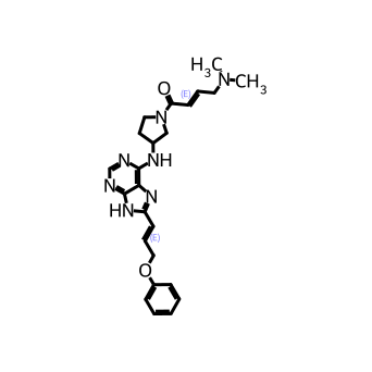 CN(C)C/C=C/C(=O)N1CCC(Nc2ncnc3[nH]c(/C=C/COc4ccccc4)nc23)C1